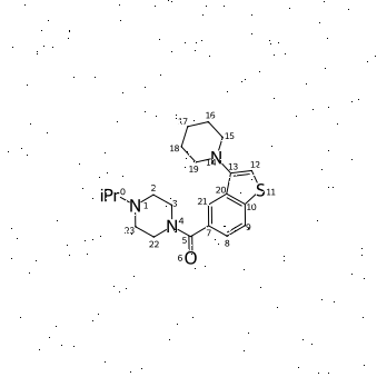 CC(C)N1CCN(C(=O)c2ccc3scc(N4CCCCC4)c3c2)CC1